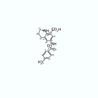 Cc1ccc(S(=O)(=O)Nc2cc3c(c(C(=O)O)c2)NCCC3)cc1